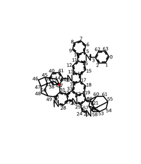 c1ccc(-n2c3ccccc3c3cc4c(cc32)c2cc3c5c6c(ncc5n5c7cnc8c(c7c(c2n4-c2ccccc2)c35)C2CC3CC4CC8CC43C2)C2CC3CC(C2)CC6C3)cc1